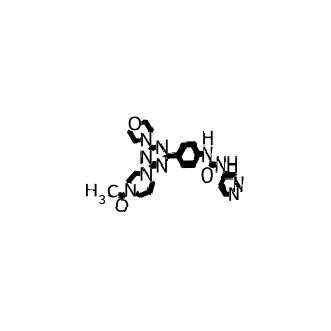 CC(=O)N1CCCN(c2nc(-c3ccc(NC(=O)Nc4ccnnc4)cc3)nc(N3CCOCC3)n2)CC1